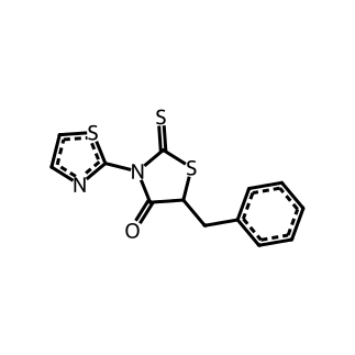 O=C1C(Cc2ccccc2)SC(=S)N1c1nccs1